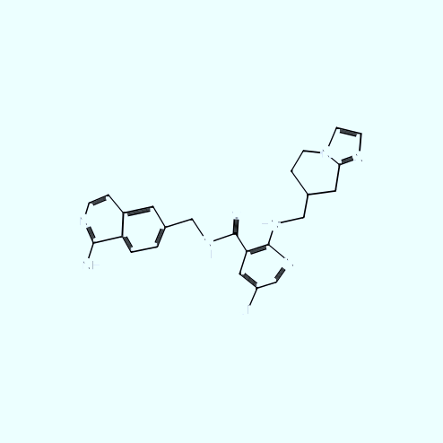 Nc1nccc2cc(CNC(=O)c3cc(Cl)cnc3NCC3CCn4ccnc4C3)ccc12